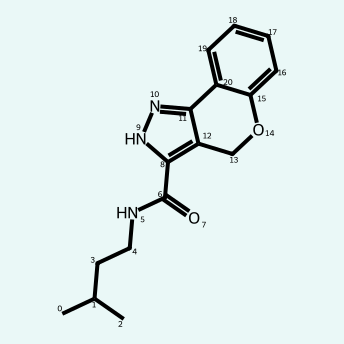 CC(C)CCNC(=O)c1[nH]nc2c1COc1ccccc1-2